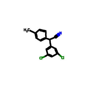 Cc1ccc(C(C#N)c2cc(Cl)cc(Cl)c2)cc1